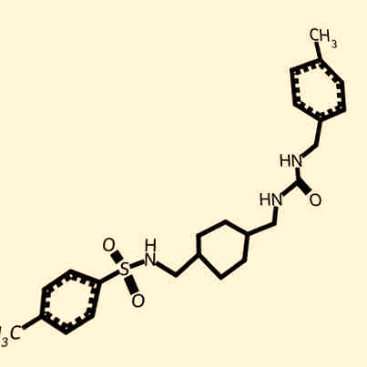 Cc1ccc(CNC(=O)NCC2CCC(CNS(=O)(=O)c3ccc(C)cc3)CC2)cc1